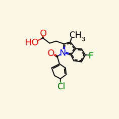 Cc1c(CCC(=O)O)n(C(=O)C2=CCC(Cl)C=C2)c2ccc(F)cc12